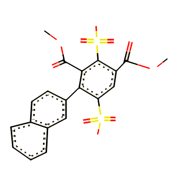 COC(=O)c1cc(S(=O)(=O)O)c(-c2ccc3ccccc3c2)c(C(=O)OC)c1S(=O)(=O)O